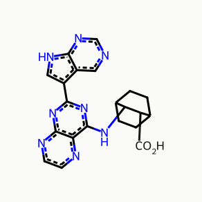 O=C(O)C1C2CCC(CC2)C1Nc1nc(-c2c[nH]c3ncncc23)nc2nccnc12